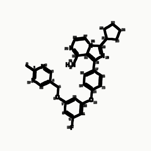 Cc1ncc(COc2cc(F)cc(Oc3ccc(-c4nc(C5CCCC5)n5ccnc(N)c45)cc3)c2)cn1